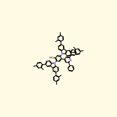 Cc1ccc(-c2ccc3c(c2)c2cc(-c4ccc(C)cc4C)ccc2n3-c2cc(-c3cc(-c4ccccc4)nc(-c4ccccc4)c3)c(-n3c4ccc(-c5ccc(C)cc5C)cc4c4cc(-c5ccc(C)cc5C)ccc43)cc2C#N)c(C)c1